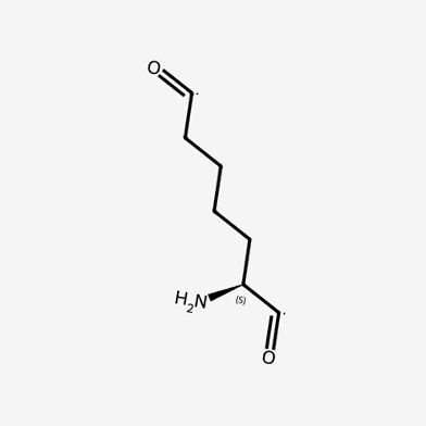 N[C@H]([C]=O)CCCC[C]=O